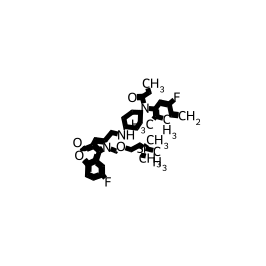 C=C/C(F)=C\C(=C(C)C)N(C(=O)CC)[C@H]1CC[C@H](NCc2cc3c(=O)oc4ccc(F)cc4c3n2COCC[Si](C)(C)C)CC1